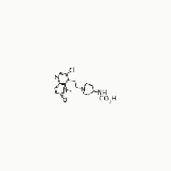 Cn1c(=O)ccc2ncc(Cl)c(CCN3CCC(NC(=O)O)CC3)c21